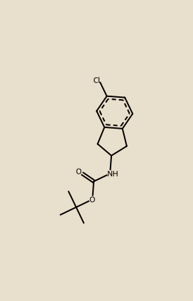 CC(C)(C)OC(=O)NC1Cc2ccc(Cl)cc2C1